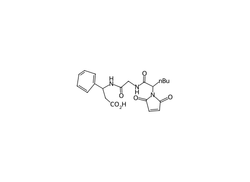 CCCCC(C(=O)NCC(=O)NC(CC(=O)O)c1ccccc1)N1C(=O)C=CC1=O